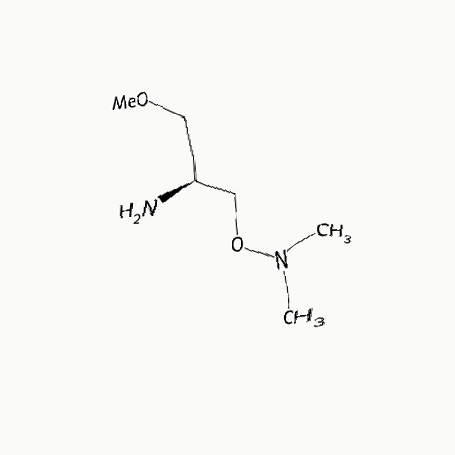 COC[C@H](N)CON(C)C